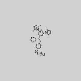 CCCCOc1ccc(CC(c2ccccc2)c2cc(-n3c(C)ccc3C)nc(-n3c(C)ccc3C)c2)cc1